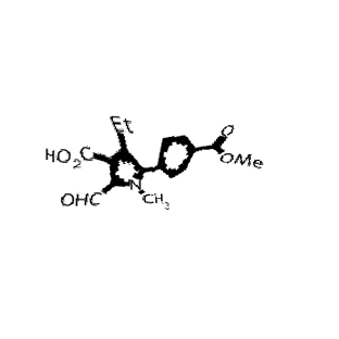 CCc1c(C(=O)O)c(C=O)n(C)c1-c1ccc(C(=O)OC)cc1